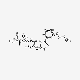 CCCOc1cc(N2CCC(Oc3ccc([C@H](C)NC(C)=O)cc3)C2)ccn1